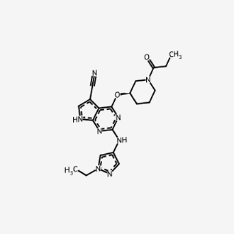 CCC(=O)N1CCC[C@@H](Oc2nc(Nc3cnn(CC)c3)nc3[nH]cc(C#N)c23)C1